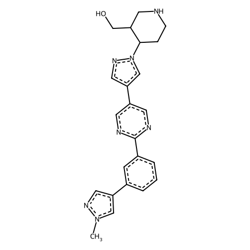 Cn1cc(-c2cccc(-c3ncc(-c4cnn(C5CCNCC5CO)c4)cn3)c2)cn1